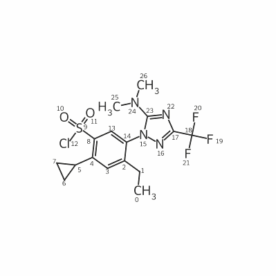 CCc1cc(C2CC2)c(S(=O)(=O)Cl)cc1-n1nc(C(F)(F)F)nc1N(C)C